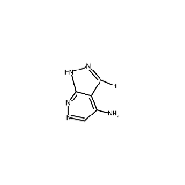 Nc1cnnc2[nH]nc(I)c12